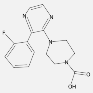 O=C(O)N1CCN(c2nccnc2-c2ccccc2F)CC1